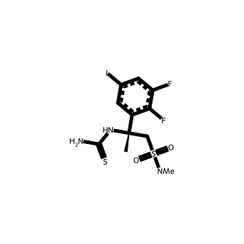 CNS(=O)(=O)C[C@](C)(NC(N)=S)c1cc(I)cc(F)c1F